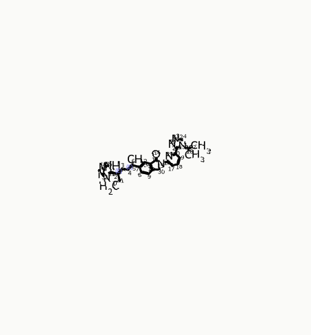 C=C/C(=C\C=C(/C)c1ccc2c(c1)C(=O)N(c1cccc(-c3nncn3C(C)C)n1)C2)c1nnn[nH]1